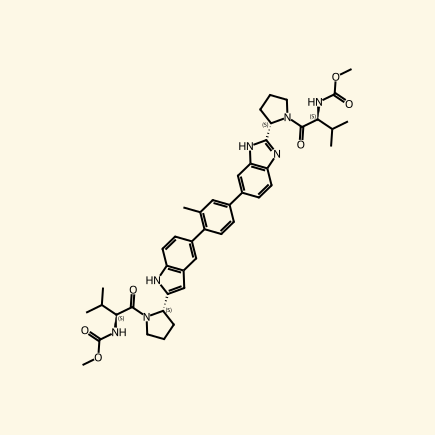 COC(=O)N[C@H](C(=O)N1CCC[C@H]1c1cc2cc(-c3ccc(-c4ccc5nc([C@@H]6CCCN6C(=O)[C@@H](NC(=O)OC)C(C)C)[nH]c5c4)cc3C)ccc2[nH]1)C(C)C